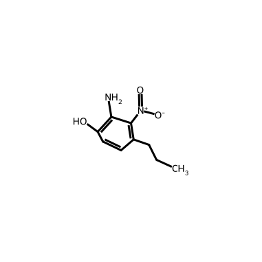 CCCc1ccc(O)c(N)c1[N+](=O)[O-]